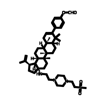 C=C(C)[C@@H]1CC[C@]2(NCCN3CCN(CCS(C)(=O)=O)CC3)CC[C@]3(C)[C@H](CC[C@@H]4[C@@]5(C)CC=C(c6ccc(OC=O)cc6)C(C)(C)[C@@H]5CC[C@]43C)[C@@H]12